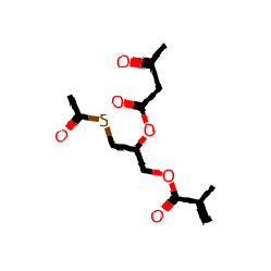 C=C(C)C(=O)OCC(CSC(C)=O)OC(=O)CC(C)=O